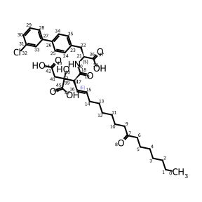 CCCCCCCC(=O)CCCCCC/C=C/[C@H](C(=O)N[C@@H](Cc1ccc(-c2cccc(Cl)c2)cc1)C(=O)O)[C@@](O)(CC(=O)O)C(=O)O